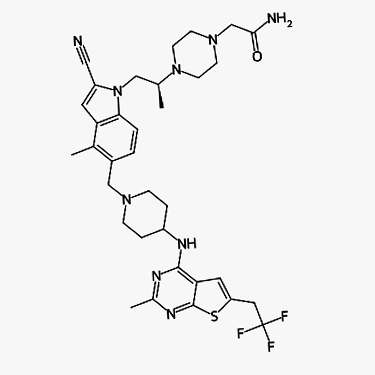 Cc1nc(NC2CCN(Cc3ccc4c(cc(C#N)n4C[C@H](C)N4CCN(CC(N)=O)CC4)c3C)CC2)c2cc(CC(F)(F)F)sc2n1